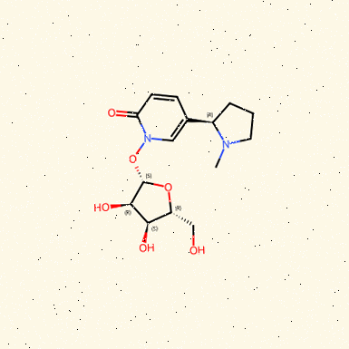 CN1CCC[C@@H]1c1ccc(=O)n(O[C@@H]2O[C@H](CO)[C@@H](O)[C@H]2O)c1